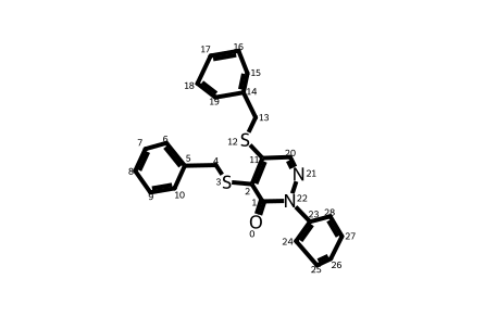 O=c1c(SCc2ccccc2)c(SCc2ccccc2)cnn1-c1ccccc1